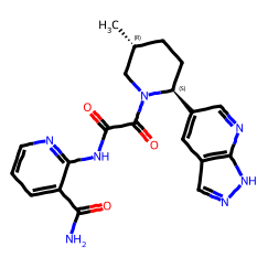 C[C@@H]1CC[C@@H](c2cnc3[nH]ncc3c2)N(C(=O)C(=O)Nc2ncccc2C(N)=O)C1